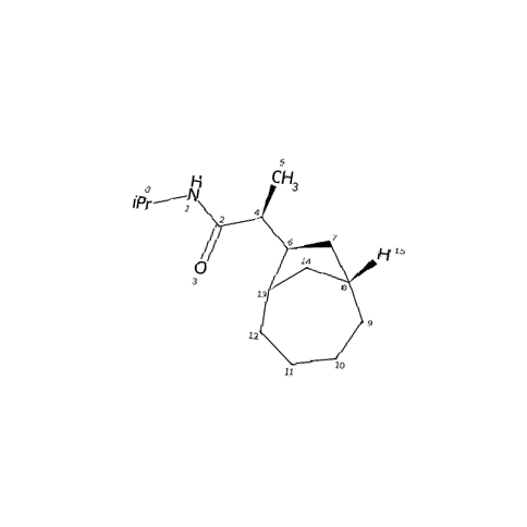 CC(C)NC(=O)[C@@H](C)[C@H]1C[C@@H]2CCCCC1C2